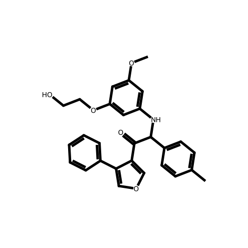 COc1cc(NC(C(=O)c2cocc2-c2ccccc2)c2ccc(C)cc2)cc(OCCO)c1